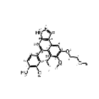 COCCOc1cc2c(c(-c3ccc(O)c(Cl)c3)nc3[nH]ncc32)c(CF)c1OC